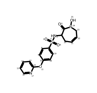 O=C1C(NS(=O)(=O)c2ccc(Oc3ccccn3)cc2)CC=CCN1O